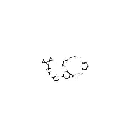 CC1(C)C[C@@H]2CCCNc3nc(ccc3S)S(=O)(=O)NC(=O)c3ccc(-n4ccc(OC(S)(S)C(S)(S)C5C6(CC6)C56CC6)n4)nc3N1C2